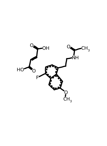 COc1ccc2c(F)ccc(CCNC(C)=O)c2c1.O=C(O)/C=C/C(=O)O